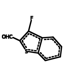 O=Cc1sc2ccccc2c1F